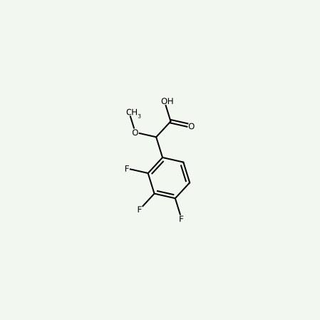 COC(C(=O)O)c1ccc(F)c(F)c1F